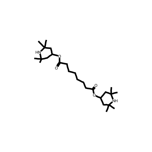 CC1(C)CC(OC(=O)CCCCCCC(=O)OC2CC(C)(C)NC(C)(C)C2)CC(C)(C)N1